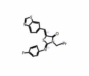 CC(C)CN1C(=O)/C(=C/c2ccc3ncsc3c2)S/C1=N\c1ccc(F)cc1